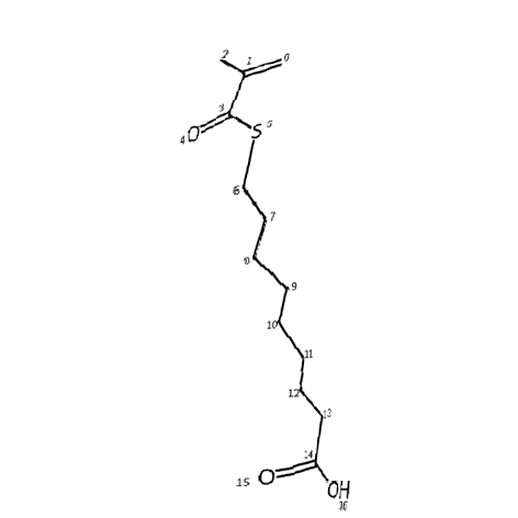 C=C(C)C(=O)SCCCCCCCCC(=O)O